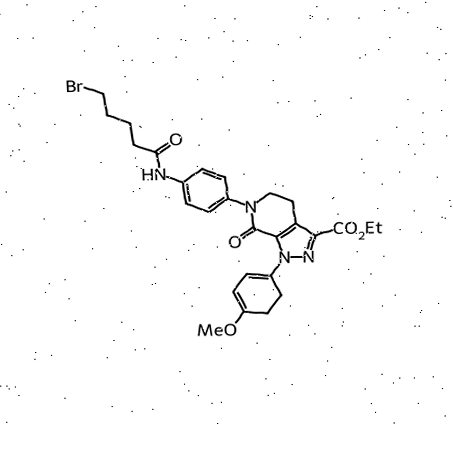 CCOC(=O)c1nn(C2=CC=C(OC)CC2)c2c1CCN(c1ccc(NC(=O)CCCCBr)cc1)C2=O